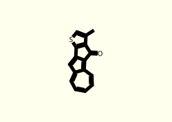 Cc1csc2c1C(=O)c1c3cccccc-3cc1-2